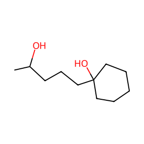 CC(O)CCCC1(O)CCCCC1